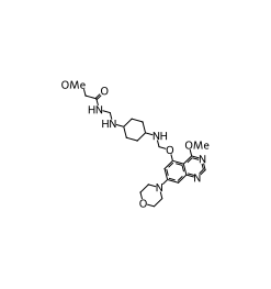 COCC(=O)NCNC1CCC(NCOc2cc(N3CCOCC3)cc3ncnc(OC)c23)CC1